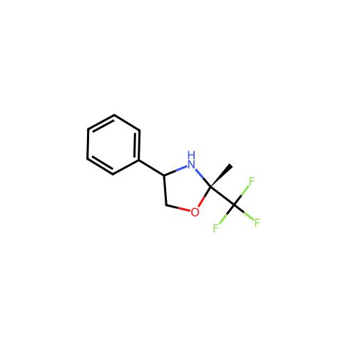 C[C@]1(C(F)(F)F)NC(c2ccccc2)CO1